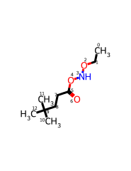 CCONOC(=O)CCC(C)(C)C